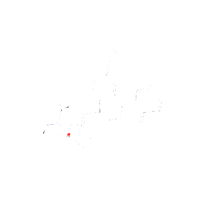 N#Cc1ccc(-c2cc(C(=O)N3[C@@H]4CC[C@H]3C[C@@H](N)C4)ccc2-c2ccc3ccncc3c2)cc1F